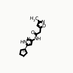 Cc1cc(CC(=O)Nc2cc([C@H]3C[CH]CC3)[nH]n2)on1